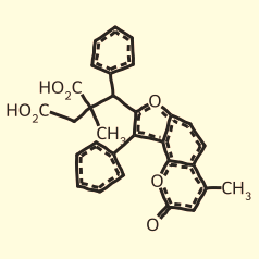 Cc1cc(=O)oc2c1ccc1oc(C(c3ccccc3)C(C)(CC(=O)O)C(=O)O)c(-c3ccccc3)c12